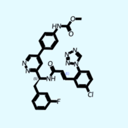 COC(=O)Nc1ccc(-c2cnnc([C@H](Cc3cccc(F)c3)NC(=O)/C=C/c3cc(Cl)ccc3-n3cnnn3)c2)cc1